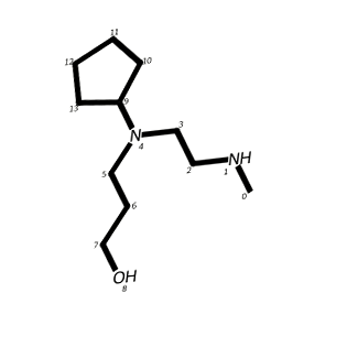 CNCCN(CCCO)C1CCCC1